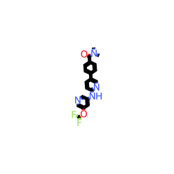 CN(C)C(=O)c1ccc(-c2ccc(Nc3cncc(OC(F)F)c3)nc2)cc1